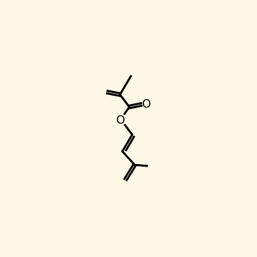 C=C(C)C=COC(=O)C(=C)C